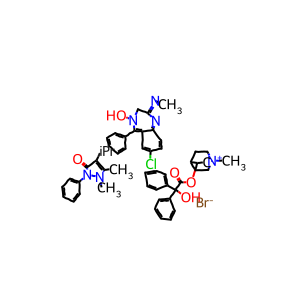 CN=C1CN(O)C(c2ccccc2)=c2cc(Cl)ccc2=N1.C[N+]12CCC(CC1)C(OC(=O)C(O)(c1ccccc1)c1ccccc1)C2.Cc1c(C(C)C)c(=O)n(-c2ccccc2)n1C.[Br-]